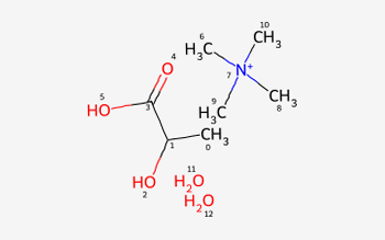 CC(O)C(=O)O.C[N+](C)(C)C.O.O